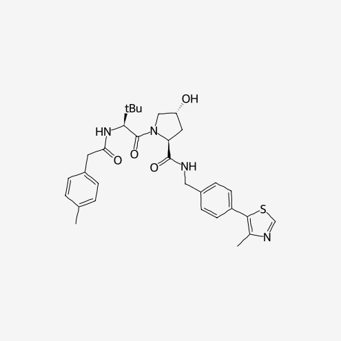 Cc1ccc(CC(=O)N[C@H](C(=O)N2C[C@H](O)C[C@H]2C(=O)NCc2ccc(-c3scnc3C)cc2)C(C)(C)C)cc1